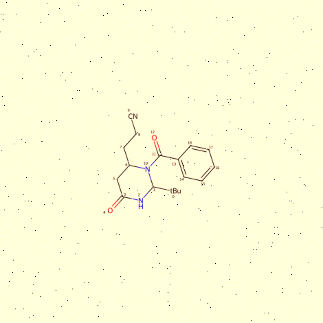 CC(C)(C)C1NC(=O)CC(CCC#N)N1C(=O)c1ccccc1